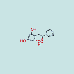 O=C(Cc1c(O)cc(O)cc1O)c1ccccc1